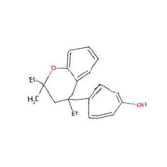 CCC1(C)CC(CC)(c2ccc(O)cc2)c2ccccc2O1